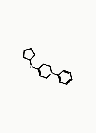 C1=C(OC2CCCC2)CCN(c2ccccc2)C1